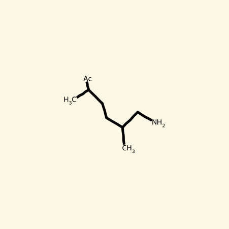 CC(=O)C(C)CCC(C)CN